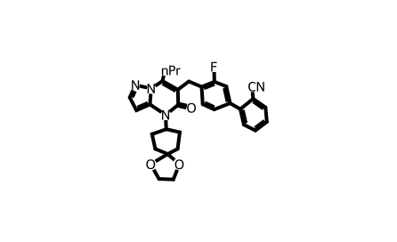 CCCc1c(Cc2ccc(-c3ccccc3C#N)cc2F)c(=O)n(C2CCC3(CC2)OCCO3)c2ccnn12